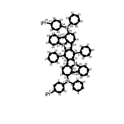 CC(C)c1ccc(N(c2ccccc2)c2ccc3c4c(-c5ccccc5)c5c(c(-c6ccccc6)c4n4c6ccccc6c2c34)c2ccc(N(c3ccccc3)c3ccc(C(C)C)cc3)c3c4ccccc4n5c23)cc1